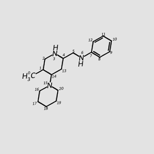 CC1CNC(CNc2ccccc2)CC1N1CCCCC1